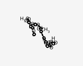 CCN(CCOc1ccc(Oc2c(-c3ccc(S(C)(=O)=O)cc3)ccc3cc(OCc4ccccc4)ccc23)cc1)C(=O)c1ccc(C#CC2CCN(C3CCN(c4cccc5c4C(=O)N(C4CCC(=O)NC4=O)C5=O)CC3)CC2)cc1